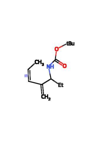 C=C(/C=C\C)C(CC)NC(=O)OC(C)(C)C